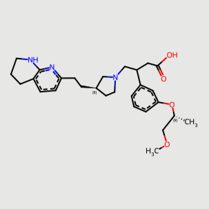 COC[C@@H](C)Oc1cccc(C(CC(=O)O)CN2CC[C@@H](CCc3ccc4c(n3)NCCC4)C2)c1